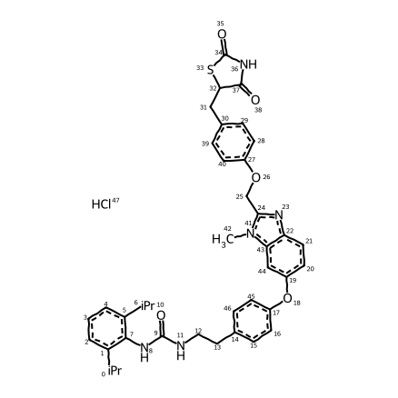 CC(C)c1cccc(C(C)C)c1NC(=O)NCCc1ccc(Oc2ccc3nc(COc4ccc(CC5SC(=O)NC5=O)cc4)n(C)c3c2)cc1.Cl